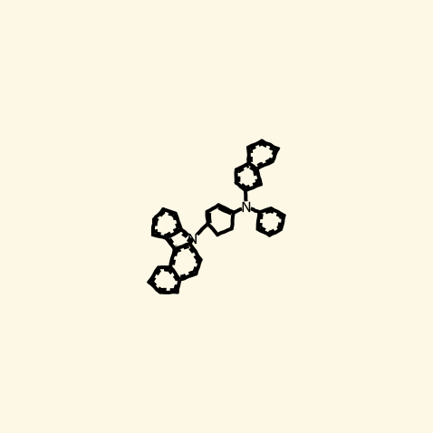 C1=C(N(c2ccccc2)c2ccc3ccccc3c2)CCC(n2c3ccccc3c3c4ccccc4ccc32)=C1